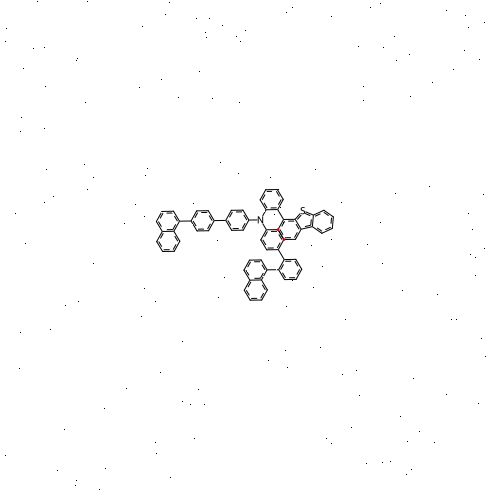 c1ccc(-c2cccc3ccccc23)c(-c2ccc(N(c3ccc(-c4ccc(-c5cccc6ccccc56)cc4)cc3)c3ccccc3-c3cccc4c3sc3ccccc34)cc2)c1